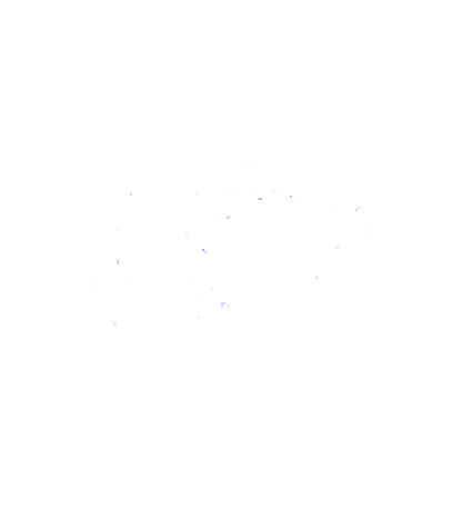 C=C[C@@H]1C[C@]1(NC(=O)[C@@H]1C[C@@H]2CN1C(=O)[C@H](C(C)C)NC(=O)OCCC/C=C/c1cccc3c1CCN(C3)C(=O)O2)C(=O)NS(=O)(=O)C1CC1